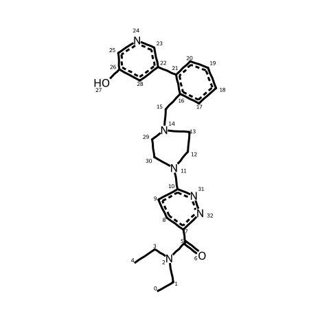 CCN(CC)C(=O)c1ccc(N2CCN(Cc3ccccc3-c3cncc(O)c3)CC2)nn1